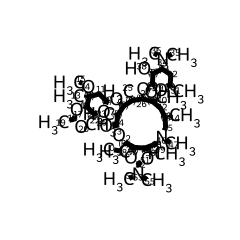 CC[C@H]1OC(=O)[C@H](C)[C@@H](O[C@H]2C[C@@](C)(OC)[C@@H](OC(C)=O)[C@H](C)O2)[C@H](C)[C@@H](O[C@@H]2O[C@H](C)C[C@H](N(C)C)[C@H]2O)[C@](C)(O)C[C@@H](C)CN(C)[C@H](C)[C@H]2OC(N(C)C)O[C@@]21C